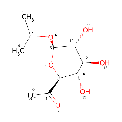 CC(=O)[C@H]1O[C@@H](OC(C)C)[C@H](O)[C@@H](O)[C@@H]1O